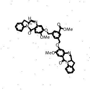 COC(=O)c1cc(COc2cc3c(cc2OC)C(=O)N2c4ccccc4CC2C=N3)cc(COc2cc3c(cc2OC)C(=O)N2c4ccccc4C[C@H]2C=N3)c1